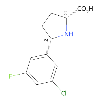 O=C(O)[C@H]1CC[C@@H](c2cc(F)cc(Cl)c2)N1